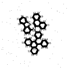 C1=Cc2c(c3c(c(-c4cccc(N(c5cc6ccccc6c6ccccc56)c5cccc6c5sc5ccccc56)c4)c2-c2ccccc2)C=CCC3)CC1